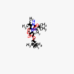 CC(C)[C@H](NC(=O)OC(C)(C)C)C(=O)N[C@@H](CCOCC[Si](C)(C)C)C(=O)O